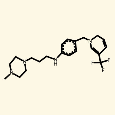 CN1CCN(CCCNc2ccc(CN3C=C(C(F)(F)F)C=CC3)cc2)CC1